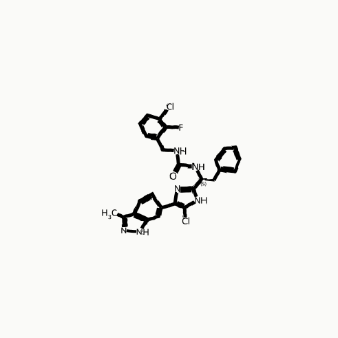 Cc1n[nH]c2cc(-c3nc([C@H](Cc4ccccc4)NC(=O)NCc4cccc(Cl)c4F)[nH]c3Cl)ccc12